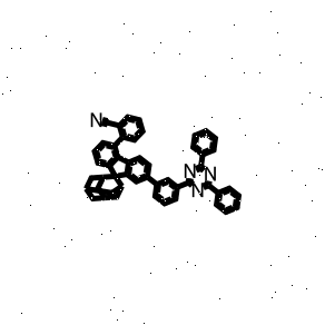 N#Cc1ccccc1-c1cccc2c1-c1ccc(-c3cccc(-c4nc(-c5ccccc5)nc(-c5ccccc5)n4)c3)cc1C21C2CC3CC(C2)CC1C3